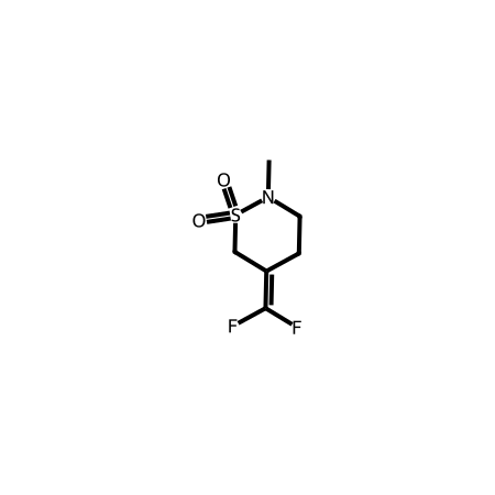 CN1CCC(=C(F)F)CS1(=O)=O